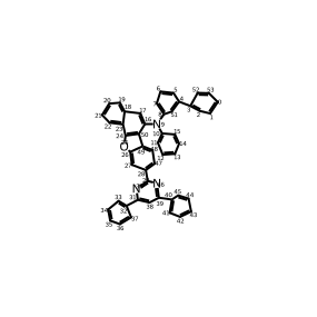 c1ccc(-c2cccc(N(c3ccccc3)c3cc4ccccc4c4oc5cc(-c6nc(-c7ccccc7)cc(-c7ccccc7)n6)ccc5c34)c2)cc1